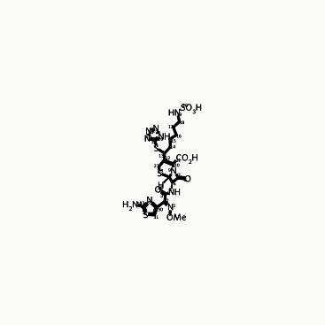 CON=C(C(=O)N[C@@H]1C(=O)N2C(C(=O)O)=C(C(CCCCCNS(=O)(=O)O)Sc3nnn[nH]3)CS[C@@H]12)c1csc(N)n1